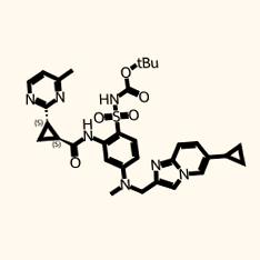 Cc1ccnc([C@H]2C[C@@H]2C(=O)Nc2cc(N(C)Cc3cn4cc(C5CC5)ccc4n3)ccc2S(=O)(=O)NC(=O)OC(C)(C)C)n1